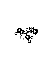 Cc1c(Cl)cccc1CNC(C(=O)NC(=N)c1ccccc1)c1ccc(Cl)c(Cl)c1